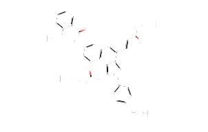 COC(=O)/C=C/c1cc2cc(OC(=O)c3ccccc3C)ccc2c2c(CC(=O)OC)n(-c3ccc(OC)cc3)cc12